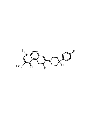 CCn1cc(C(=O)O)c(=O)c2c3cc(F)c(N4CCC(O)(c5ccc(F)cc5)CC4)cc3ncc21